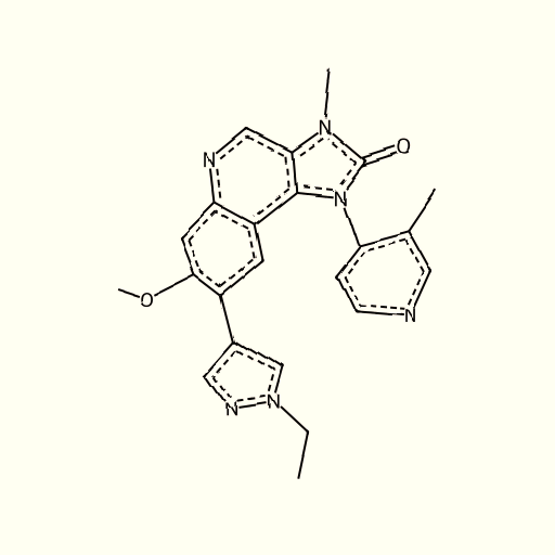 CCn1cc(-c2cc3c(cc2OC)ncc2c3n(-c3ccncc3C)c(=O)n2C)cn1